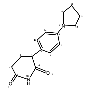 O=C1CCC(c2ccc(N3CCCC3)cc2)C(=O)N1